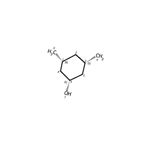 C[C@@H]1C[C@H](C)C[C@H](O)C1